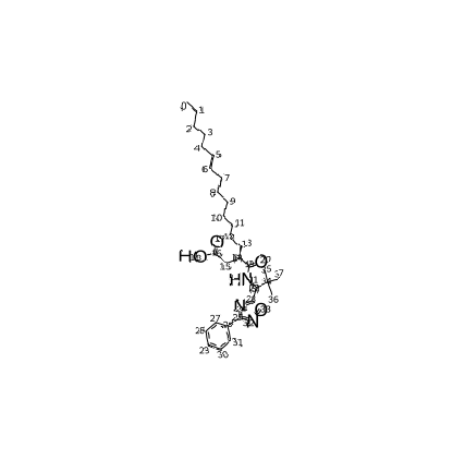 CCCCCCCCCCCCCC[C@H](CC(=O)O)C(=O)N[C@H](c1nc(-c2ccccc2)no1)C(C)(C)C